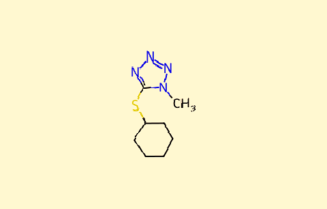 Cn1nnnc1SC1CCCCC1